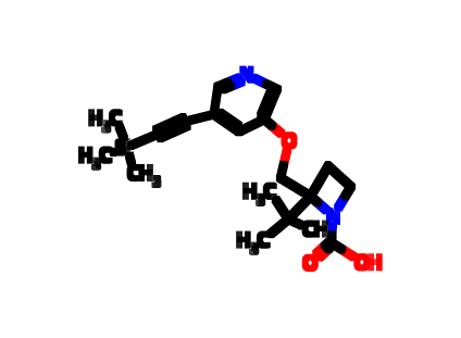 CC(C)(C)C1(COc2cncc(C#C[Si](C)(C)C)c2)CCN1C(=O)O